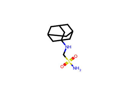 NS(=O)(=O)CNC12CC3CC(CC(C3)C1)C2